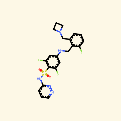 O=S(=O)(Nc1cccnn1)c1c(F)cc(NCc2c(F)cccc2CN2CCC2)cc1F